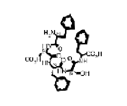 N[C@@H](Cc1ccccc1)C(=O)N[C@@H](CC(=O)O)C(=O)N[C@@H](Cc1ccccc1)C(=O)N[C@@H](CO)C(=O)N[C@@H](Cc1ccccc1)C(=O)O